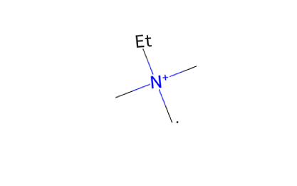 [CH2][N+](C)(C)CC